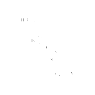 O=C(O)CC1CCc2c1[nH]c1ccc(-c3noc(-c4cncc(Br)c4)n3)cc21